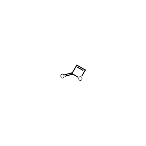 O=C1C=CO1